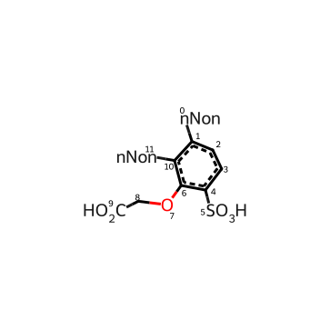 CCCCCCCCCc1ccc(S(=O)(=O)O)c(OCC(=O)O)c1CCCCCCCCC